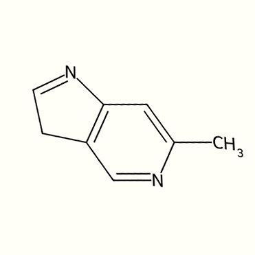 Cc1cc2c(cn1)CC=N2